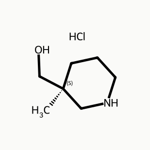 C[C@]1(CO)CCCNC1.Cl